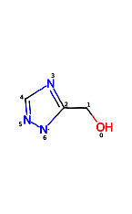 OCC1=NC=N[N]1